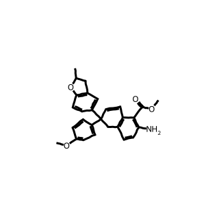 COC(=O)c1c(N)ccc2c1C=CC(c1ccc(OC)cc1)(c1ccc3c(c1)CC(C)O3)C2